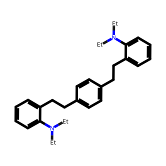 CCN(CC)c1ccccc1CCc1ccc(CCc2ccccc2N(CC)CC)cc1